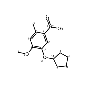 COc1cc(C)c([N+](=O)[O-])cc1OC1CCCC1